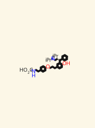 CC(C)N(CC[C@H](c1ccccc1)c1cc(CCCOc2ccc(CCNC(=O)O)cc2)ccc1O)C(C)C